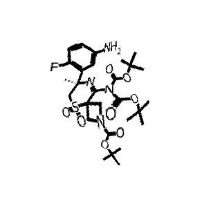 CC(C)(C)OC(=O)N1CC2(C1)C(N(C(=O)OC(C)(C)C)C(=O)OC(C)(C)C)=N[C@](C)(c1cc(N)ccc1F)CS2(=O)=O